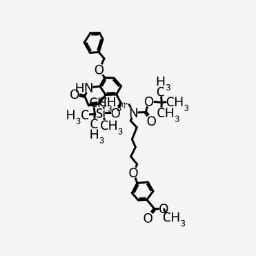 COC(=O)c1ccc(OCCCCCCN(C[C@H](O[Si](C)(C)C(C)(C)C)c2ccc(OCc3ccccc3)c3[nH]c(=O)ccc23)C(=O)OC(C)(C)C)cc1